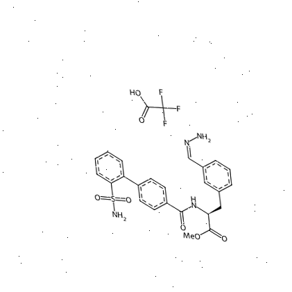 COC(=O)[C@H](Cc1cccc(/C=N\N)c1)NC(=O)c1ccc(-c2ccccc2S(N)(=O)=O)cc1.O=C(O)C(F)(F)F